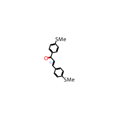 CSc1ccc(/C=C/C(=O)c2ccc(SC)cc2)cc1